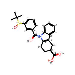 CC(C)(C)[S+]([O-])c1cccc(C(=O)n2c3c(c4ccccc42)CC(C(=O)O)CC3)c1